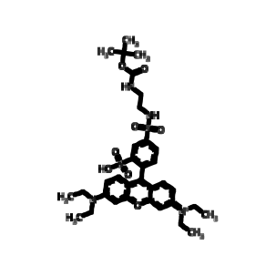 CCN(CC)c1ccc2c(-c3ccc(S(=O)(=O)NCCNC(=O)OC(C)(C)C)cc3S(=O)(=O)O)c3ccc(=[N+](CC)CC)cc-3oc2c1